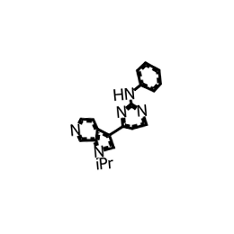 CC(C)n1cc(-c2ccnc(Nc3ccccc3)n2)c2ccncc21